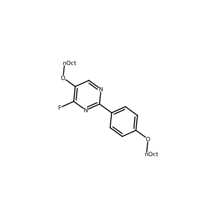 CCCCCCCCOc1ccc(-c2ncc(OCCCCCCCC)c(F)n2)cc1